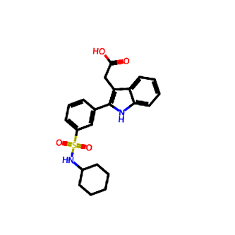 O=C(O)Cc1c(-c2cccc(S(=O)(=O)NC3CCCCC3)c2)[nH]c2ccccc12